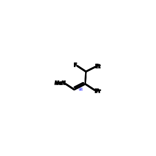 CCC(F)/C(=C\NC)C(C)C